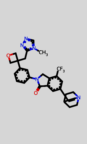 Cn1cnnc1CC1(c2cccc(N3Cc4c(cc(C5=CN6CCC5CC6)cc4C(F)(F)F)C3=O)c2)COC1